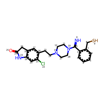 N=C(c1ccccc1CS)N1CCN(CCc2cc3c(cc2Cl)NC(=O)C3)CC1